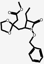 CCC1C(=O)N(OCc2ccccc2)C1CC1(CC(=O)OC)OCCO1